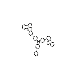 c1ccc(-c2ccc(N(c3ccc(-c4ccc5c(c4)c4cccc6c7ccccc7n5c64)cc3)c3ccc(-c4cccc5c4oc4ccccc45)cc3)cc2)cc1